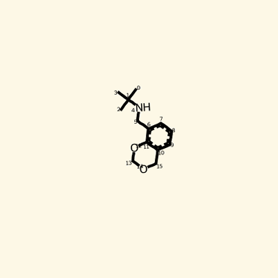 CC(C)(C)NCc1cccc2c1OCOC2